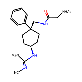 CN/C(=N\C#N)N[C@H]1CC[C@](CNC(=O)CNC(C)=O)(c2ccccc2)CC1